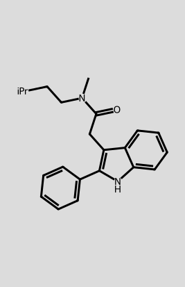 CC(C)CCN(C)C(=O)Cc1c(-c2ccccc2)[nH]c2ccccc12